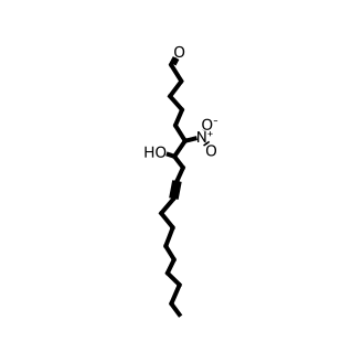 CCCCCCCCC#CCC(O)C(CCCCC=O)[N+](=O)[O-]